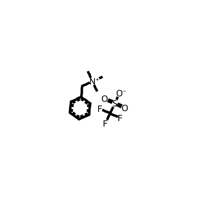 C[N+](C)(C)Cc1ccccc1.O=S(=O)([O-])C(F)(F)F